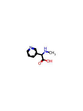 CNC(C(=O)O)c1cccnc1